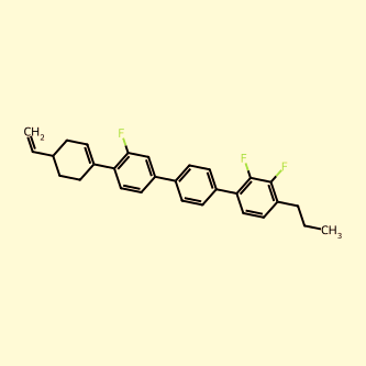 C=CC1CC=C(c2ccc(-c3ccc(-c4ccc(CCC)c(F)c4F)cc3)cc2F)CC1